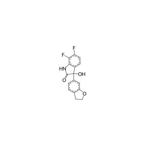 O=C1Nc2c(ccc(F)c2F)C1(O)c1ccc2c(c1)OCC2